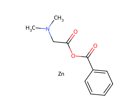 CN(C)CC(=O)OC(=O)c1ccccc1.[Zn]